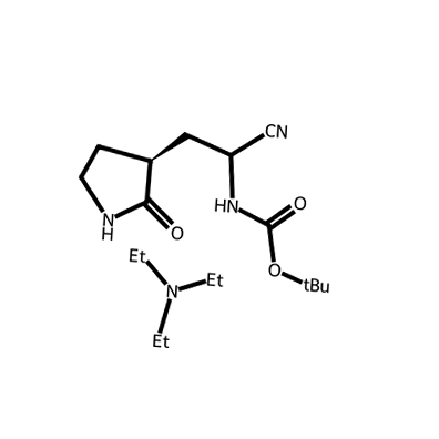 CC(C)(C)OC(=O)NC(C#N)C[C@@H]1CCNC1=O.CCN(CC)CC